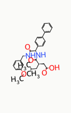 COc1cccc(CNC(=O)C(NC(=O)[C@@H](CC(=O)O)CC(C)C)c2ccc(-c3ccccc3)cc2)c1